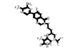 Nc1nc(-c2cc3ncn(CCCC(COC(F)F)Nc4cn[nH]c(=O)c4C(F)(F)F)c(=O)c3cc2F)cnc1C(F)(F)F